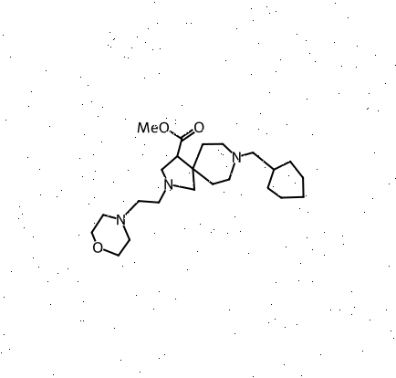 COC(=O)C1CN(CCN2CCOCC2)CC12CCN(CC1CCCCC1)CC2